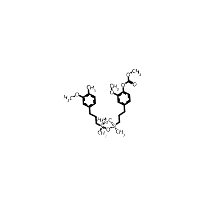 COC(=O)Oc1ccc(CCC[Si](C)(C)O[Si](C)(C)CCCc2ccc(C)c(OC)c2)cc1OC